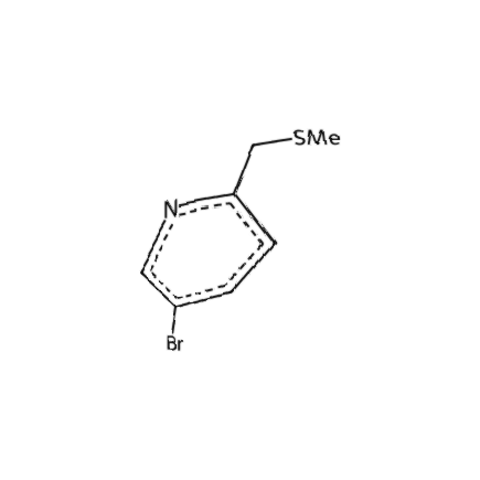 CSCc1ccc(Br)cn1